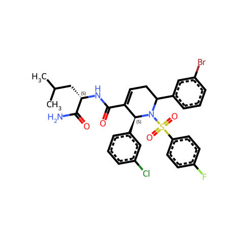 CC(C)C[C@H](NC(=O)C1=CCC(c2cccc(Br)c2)N(S(=O)(=O)c2ccc(F)cc2)[C@H]1c1cccc(Cl)c1)C(N)=O